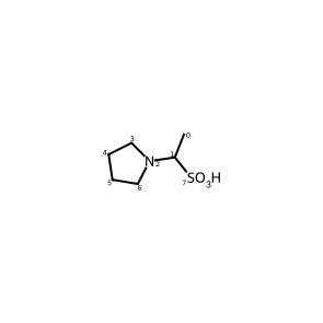 CC(N1CCCC1)S(=O)(=O)O